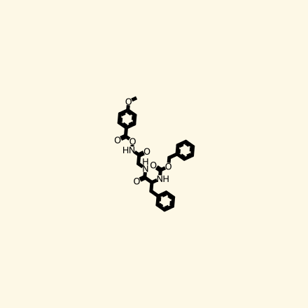 COc1ccc(C(=O)ONC(=O)CNC(=O)C(Cc2ccccc2)NC(=O)OCc2ccccc2)cc1